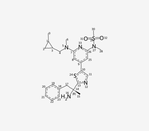 CC1CC1CN(C)c1cc(-c2cnc([C@](C)(N)Cc3ccccc3)s2)cc(N(C)S(C)(=O)=O)n1